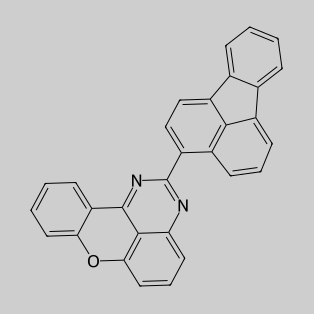 c1ccc2c(c1)Oc1cccc3nc(-c4ccc5c6c(cccc46)-c4ccccc4-5)nc-2c13